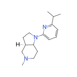 CC(C)c1cccc(N2CC[C@@H]3CN(C)CCC32)n1